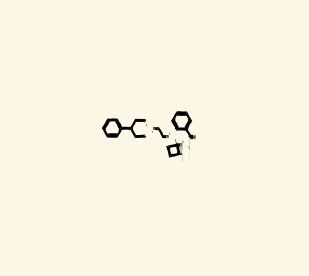 O=C1NC2(CCC2)N(CCN2CCC(c3ccccc3)CC2)c2ccccc21